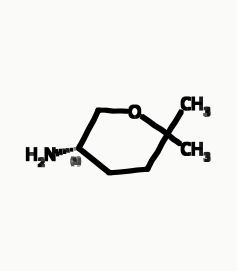 CC1(C)CC[C@H](N)CO1